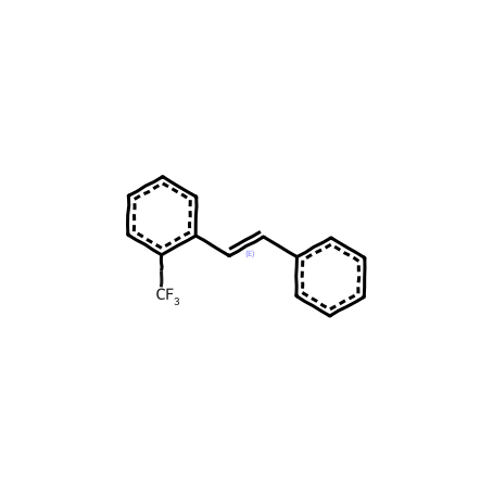 FC(F)(F)c1ccccc1/C=C/c1ccccc1